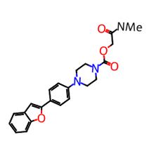 CNC(=O)COC(=O)N1CCN(c2ccc(-c3cc4ccccc4o3)cc2)CC1